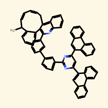 CC1/C=C\C=C/Cc2c(c(-c3cccc(-c4cccc(-c5nc(-c6cc7ccccc7c7ccccc67)cc(-c6cc7ccccc7c7ccccc67)n5)c4)c3)nc3ccccc23)-c2ccccc21